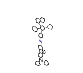 C1=CCC(c2cc(-c3ccc(/C=C/c4ccc5c(c4)oc4cc(N(c6ccccc6)c6ccccc6)ccc45)cc3)c(-c3ccccc3)c3c2-c2cccc4cccc-3c24)C=C1